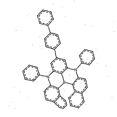 c1ccc(-c2ccc(-c3cc4c5c(c3)N(c3ccccc3)c3ccc6ccccc6c3B5c3c(ccc5ccccc35)N4c3ccccc3)cc2)cc1